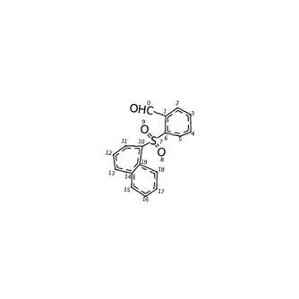 O=Cc1ccccc1S(=O)(=O)c1cccc2ccccc12